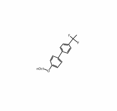 CCCCCCCCOc1ccc(-c2ccc(C(C)(F)F)cc2)cc1